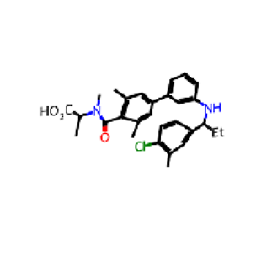 CCC(Nc1cccc(-c2cc(C)c(C(=O)N(C)C(C)C(=O)O)c(C)c2)c1)c1ccc(Cl)c(C)c1